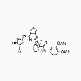 COc1ccc(NC(=O)[C@]2(C)CCCN2c2nc(Nc3cc(C4CC4)[nH]n3)n3cccc3n2)cc1OC